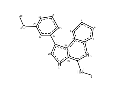 CNc1nc2ccccc2n2c(-c3cccc(OC)c3)cnc12